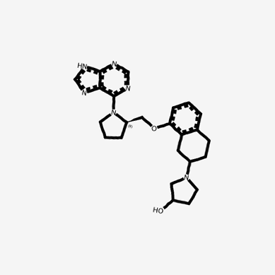 OC1CCN(C2CCc3cccc(OC[C@H]4CCCN4c4ncnc5[nH]cnc45)c3C2)C1